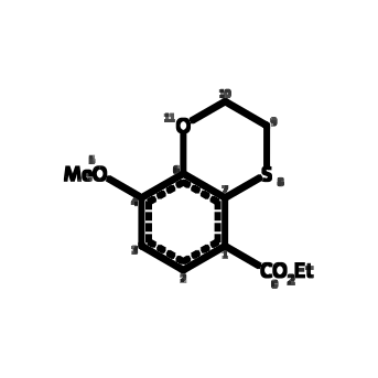 CCOC(=O)c1ccc(OC)c2c1SCCO2